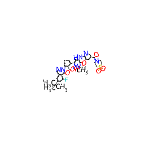 Cn1nc(-c2cccc(-n3ncc4cc(C(C)(C)C)cc(F)c4c3=O)c2CO)cc(Nc2ccc(C(=O)N3CCS(=O)(=O)CC3)cn2)c1=O